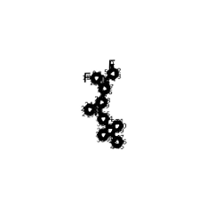 Fc1cccc(-n2c3ccc(F)cc3c3cc(-c4ccc5c(c4)c4ccccc4n5-c4ccc(-c5c6ccccc6c(-c6ccccc6)c6ccccc56)cc4)ccc32)c1